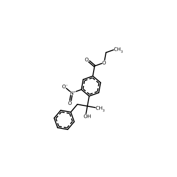 CCOC(=O)c1ccc(C(C)(O)Cc2ccccc2)c([N+](=O)[O-])c1